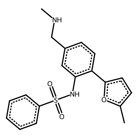 CNCc1ccc(-c2ccc(C)o2)c(NS(=O)(=O)c2ccccc2)c1